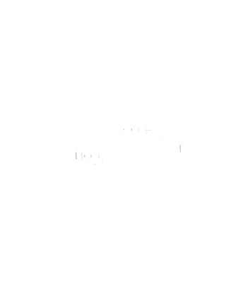 CCSc1cccc(C(=O)O)c1C(=O)O